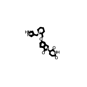 O=C1CCC(N2Cc3cc(OCC4CCCCN4Cc4cn[nH]c4)ccc3C2=O)C(=O)N1